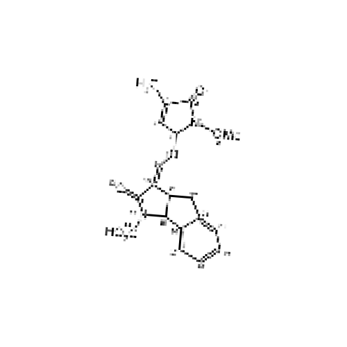 CON1C(=O)C(C)=CC1OC=C1C(=O)N(C(=O)O)C2c3ccccc3CC12